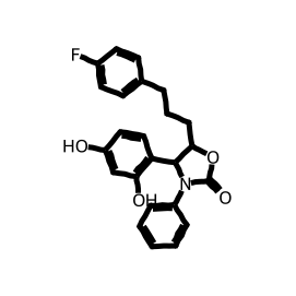 O=C1OC(CCCc2ccc(F)cc2)C(c2ccc(O)cc2O)N1c1ccccc1